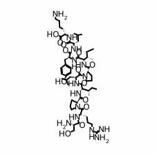 CC[C@H](C)[C@H](NC(=O)[C@@H]1CCCN1C(=O)[C@H](CC(C)C)NC(=O)[C@@H](NC(=O)[C@@H]1CCCN1C(=O)[C@H](CCCNC(=N)N)NC(=O)[C@@H](N)CO)[C@@H](C)CC)C(=O)N[C@@H](Cc1ccc(O)cc1)C(=O)N[C@@H](CC(C)C)C(=O)N[C@@H](CCCCN)C(=O)O